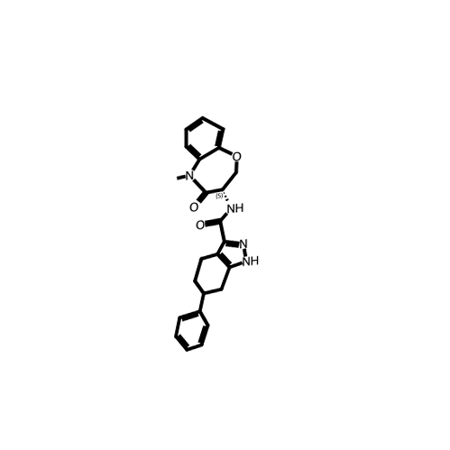 CN1C(=O)[C@@H](NC(=O)c2n[nH]c3c2CCC(c2ccccc2)C3)COc2ccccc21